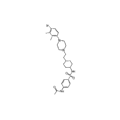 CC(=O)Nc1ccc(S(=O)(=O)NC2CCC(CCN3CCN(c4ccc(Br)c(C)c4C)CC3)CC2)cc1